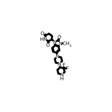 Cn1c(=O)n(C2CCC(=O)NC2=O)c2ccc(N3CCN([C@@H]4CCNCC4(F)F)CC3)cc21